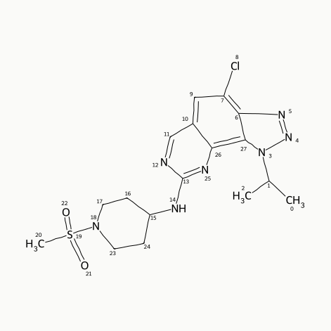 CC(C)n1nnc2c(Cl)cc3cnc(NC4CCN(S(C)(=O)=O)CC4)nc3c21